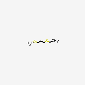 [CH2]CSCCCS[CH2]